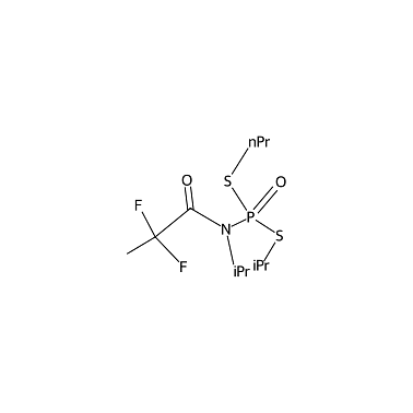 CCCSP(=O)(SC(C)C)N(C(=O)C(C)(F)F)C(C)C